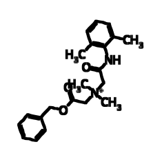 Cc1cccc(C)c1NC(=O)C[N+](C)(C)CC(=O)OCc1ccccc1